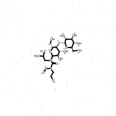 CC(C)CN(C(=O)N(CCCl)N=O)C1O[C@H](CO)[C@@H](O[C@H]2O[C@H](CO)[C@@H](O)[C@H](O)[C@H]2O)[C@H](O)[C@H]1O